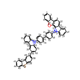 c1ccc2c(c1)oc1c2ccc2c3ccccc3n(-c3ccc(-c4ccc(-n5c6ccccc6c6cc(-c7ccc8sc9ccccc9c8c7)ccc65)cc4)cc3)c21